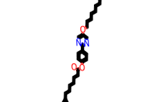 CCCCCCCCOc1cnc(-c2ccc(OC(=O)CCCCCCC3CC3)cc2)nc1